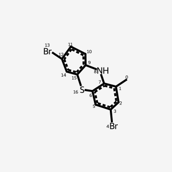 Cc1cc(Br)cc2c1Nc1ccc(Br)cc1S2